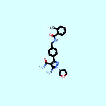 Cc1ccccc1C(=O)NCc1ccc(-c2nn([C@@H]3CCOC3)c(N)c2C(N)=O)cc1